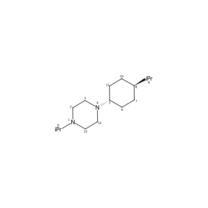 CC(C)N1CCN([C@H]2CC[C@H](C(C)C)CC2)CC1